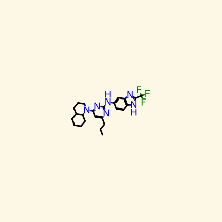 CCCc1cc(N2CCCC3CCCCC32)nc(Nc2ccc3[nH]c(C(F)(F)F)nc3c2)n1